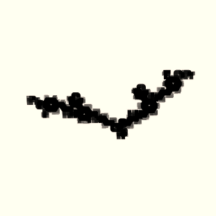 CC(C)Oc1ccc(CCCNc2ccc(CNCCCO[PH](=O)OCCCNCc3ccc(NCCCc4ccc(OC(C)C)c(F)c4)c(-c4ccoc4)c3)cc2-c2ccoc2)cc1F